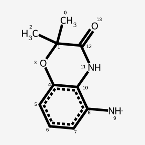 CC1(C)Oc2cccc([NH])c2NC1=O